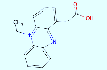 CC[n+]1c2ccccc2nc2c(CC(=O)O)cccc21